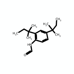 CCC(C)(C)c1ccc(NC=O)c(C(C)(C)CC)c1